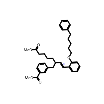 COC(=O)CCCCC(/C=C/c1ccccc1OCCCCCc1ccccc1)Cc1cccc(C(=O)OC)c1